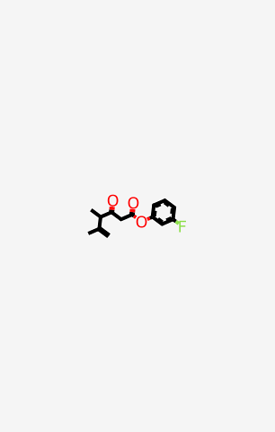 C=C(C)C(C)C(=O)CC(=O)Oc1cccc(F)c1